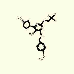 COc1ccc(CNc2nc(OCC(F)(F)F)nc(N3CCC(O)C3)c2N)cc1